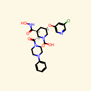 O=C(NO)[C@H]1C[C@H](Oc2cncc(Cl)c2)CN(C(=O)O)[C@@H]1C(=O)N1CCN(c2ccccc2)CC1